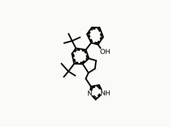 CC(C)(C)c1cc(C(C)(C)C)c2c(c1-c1ccccc1O)CCC2Cc1c[nH]cn1